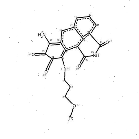 CCOCCCNC1=c2c3c4c(cccc4cc2=C(N)C(=O)C1=O)C(=O)NC3=O